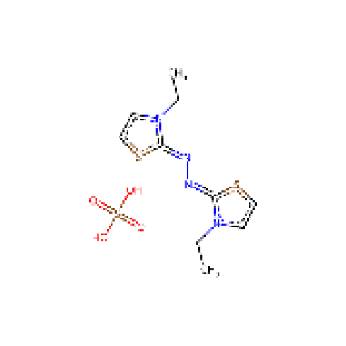 CCn1ccsc1=NN=c1sccn1CC.O=S(=O)(O)O